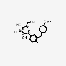 COC1CCC(Cc2cc([C@@H]3O[C@H](CC#N)[C@@H](O)[C@H](O)[C@H]3O)ccc2Cl)CC1